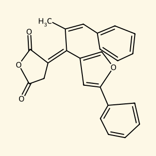 CC(=C/c1ccccc1)/C(=C1/CC(=O)OC1=O)c1coc(-c2ccccc2)c1